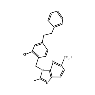 Cc1nc2ccc(C(=O)O)nc2n1Cc1ccc(CCc2ccccc2)cc1Cl